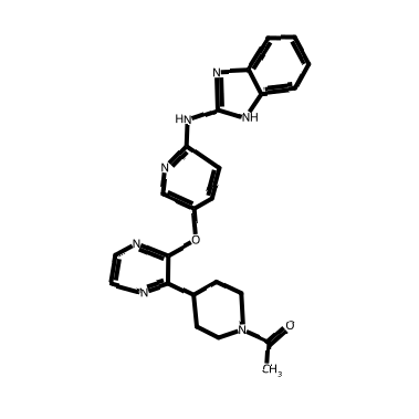 CC(=O)N1CCC(c2nccnc2Oc2ccc(Nc3nc4ccccc4[nH]3)nc2)CC1